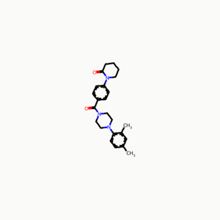 Cc1ccc(N2CCN(C(=O)c3ccc(N4CCCCC4=O)cc3)CC2)c(C)c1